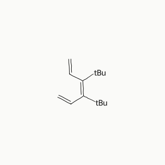 C=C/C(=C(\C=C)C(C)(C)C)C(C)(C)C